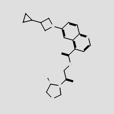 N#C[C@@H]1CSCN1C(=O)CNC(=O)c1ccnc2ccc(N3CC(C4CC4)C3)cc12